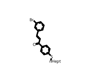 CCCCCCCSc1ccc(C(=O)/C=C/c2cccc(Br)c2)cc1